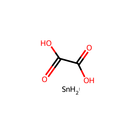 O=C(O)C(=O)O.[SnH2]